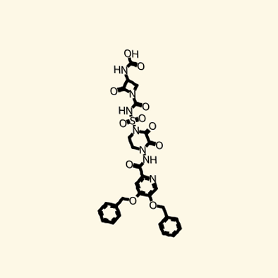 O=C(O)NC1CN(C(=O)NS(=O)(=O)N2CCN(NC(=O)c3cc(OCc4ccccc4)c(OCc4ccccc4)cn3)C(=O)C2=O)C1=O